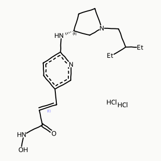 CCC(CC)CN1CC[C@@H](Nc2ccc(/C=C/C(=O)NO)cn2)C1.Cl.Cl